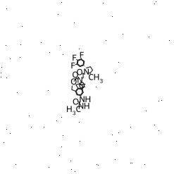 CNC(=O)Nc1cc(F)c2c(c1)CC[C@@]21OC(=O)N(CC(=O)N2[C@@H](C)CC[C@H]2c2cc(F)c(F)c(F)c2)C1=O